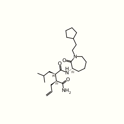 C=CC[C@H](C(N)=O)[C@@H](CC(C)C)C(=O)N[C@H]1CCCCN(CCC2CCCC2)C1=O